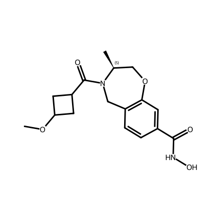 COC1CC(C(=O)N2Cc3ccc(C(=O)NO)cc3OC[C@@H]2C)C1